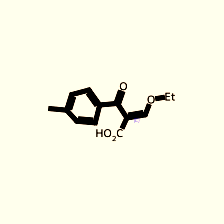 CCO/C=C(/C(=O)O)C(=O)c1ccc(C)cc1